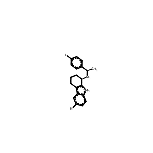 C[C@@H](N[C@@H]1CCCc2c1[nH]c1ccc(Br)cc21)c1ccc(F)cc1